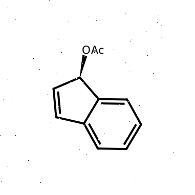 CC(=O)O[C@@H]1C=Cc2ccccc21